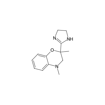 CN1CC(C)(C2=NCCN2)Oc2ccccc21